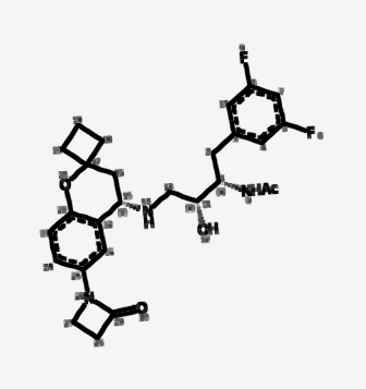 CC(=O)N[C@@H](Cc1cc(F)cc(F)c1)[C@H](O)CN[C@H]1CC2(CCC2)Oc2ccc(N3CCC3=O)cc21